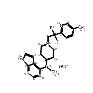 Cc1ccc(C(F)(F)CN2CCC(N(C)c3ncnc4[nH]ccc34)CC2)nc1.Cl